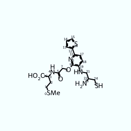 CSCCC(NC(=O)COc1nc(-c2cccs2)ccc1NCC(N)CS)C(=O)O